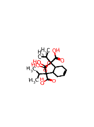 CC(C)C(C(=O)O)(C(=O)O)C1CC=CCC1C(C(=O)O)(C(=O)O)C(C)C